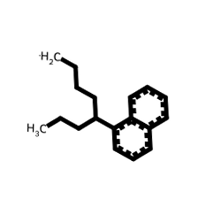 [CH2]CCCC(CCC)c1cccc2ccccc12